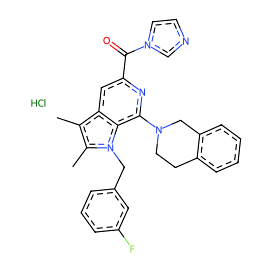 Cc1c(C)n(Cc2cccc(F)c2)c2c(N3CCc4ccccc4C3)nc(C(=O)n3ccnc3)cc12.Cl